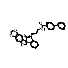 O=C(NCCCN1C(=O)C2(COc3cc4c(cc32)OCO4)c2ccccc21)c1ccc(-c2ccccc2)cc1